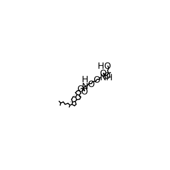 CC(C)CCCC(C)C1CCC2C3CC=C4C[C@@H](OC(=O)NCCOCCOCCNC(=O)OC(C)CCO)CC[C@]4(C)C3CC[C@]12C